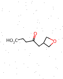 O=C(O)CCC(=O)CC1COC1